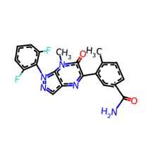 Cc1ccc(C(N)=O)cc1-c1nc2cnn(-c3c(F)cccc3F)c2n(C)c1=O